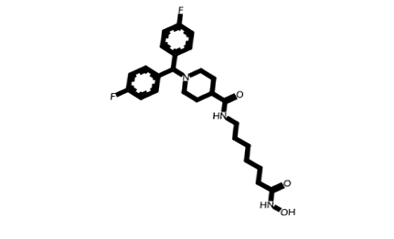 O=C(CCCCCCNC(=O)C1CCN(C(c2ccc(F)cc2)c2ccc(F)cc2)CC1)NO